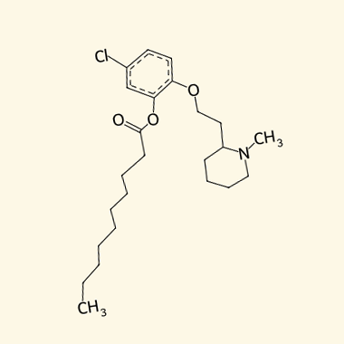 CCCCCCCCCC(=O)Oc1cc(Cl)ccc1OCCC1CCCCN1C